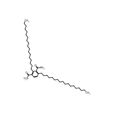 CCCCCCCCCCCCCCCCCCc1ccc(C(N)=O)c(CCCCCCCCCCCCCCCCCC)c1C(N)=O